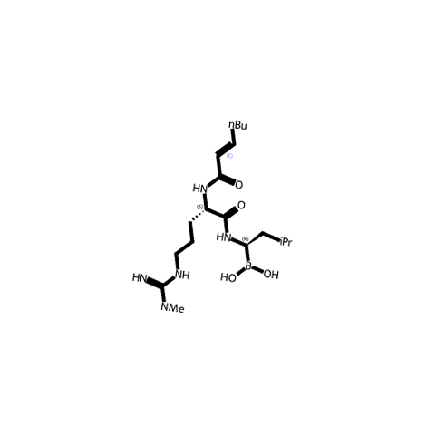 CCCC/C=C/C(=O)N[C@@H](CCCNC(=N)NC)C(=O)N[C@@H](CC(C)C)B(O)O